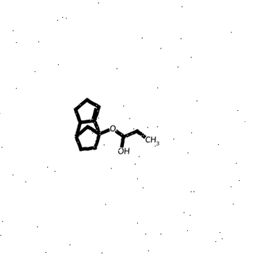 CCC(O)OC12CCC(C1)C1CCC=C12